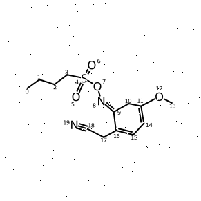 CCCCS(=O)(=O)ON=C1CC(OC)=CC=C1CC#N